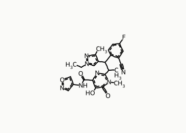 CCn1cc(C(c2ccc(F)cc2C#N)C(C)c2nc(C(=O)Nc3cnoc3)c(O)c(=O)n2C)c(C)n1